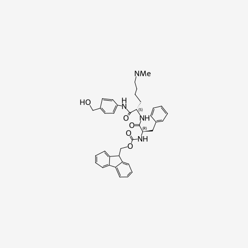 CNCCCC[C@H](NC(=O)[C@@H](Cc1ccccc1)NC(=O)OCC1c2ccccc2-c2ccccc21)C(=O)Nc1ccc(CO)cc1